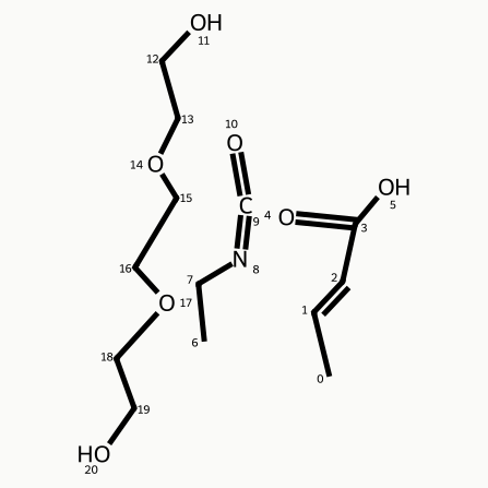 C/C=C/C(=O)O.CCN=C=O.OCCOCCOCCO